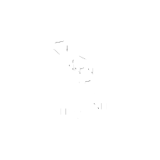 O=C(CC1CNC(C(=O)O)C1)Nc1ccc(-c2ccccc2)nn1